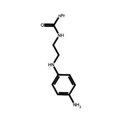 CCCC(=O)NCCNc1ccc(N)cc1